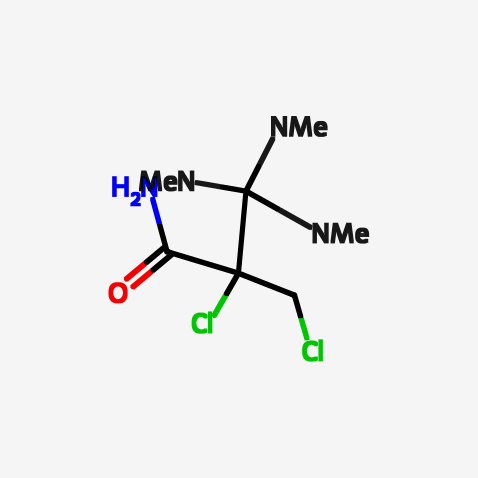 CNC(NC)(NC)C(Cl)(CCl)C(N)=O